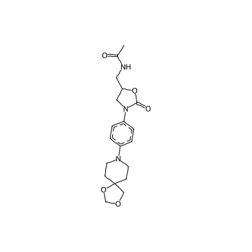 CC(=O)NCC1CN(c2ccc(N3CCC4(CC3)COCO4)cc2)C(=O)O1